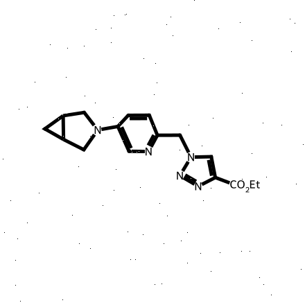 CCOC(=O)c1cn(Cc2ccc(N3CC4CC4C3)cn2)nn1